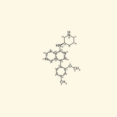 COc1cc(C)ccc1-c1nnc(N[C@@H]2CCCNC2)c2ccncc12